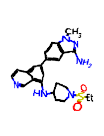 CCS(=O)(=O)N1CCC(Nc2cc(-c3ccc4c(c3)c(N)nn4C)cc3ccncc23)CC1